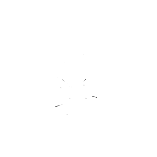 C[C@]1(O)O[C@H](CO)[C@H](O)[C@@](O)(c2c[nH]c3ccccc23)[C@H]1O